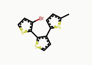 Cc1ccc(-c2ccsc2-c2sccc2Br)s1